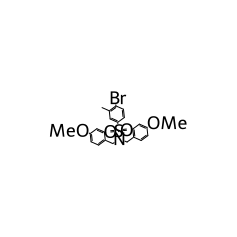 COc1ccc(CN(Cc2ccc(OC)cc2)S(=O)(=O)c2ccc(Br)c(C)c2)cc1